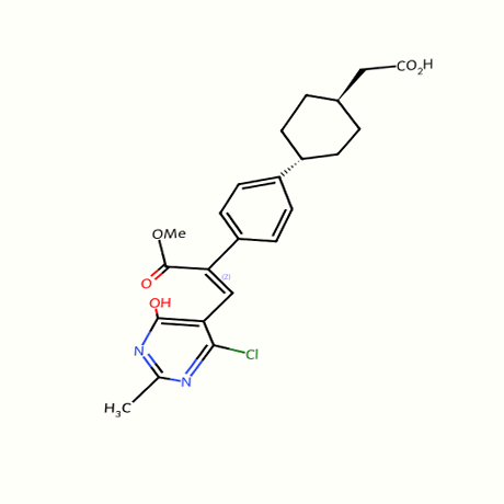 COC(=O)/C(=C\c1c(O)nc(C)nc1Cl)c1ccc([C@H]2CC[C@H](CC(=O)O)CC2)cc1